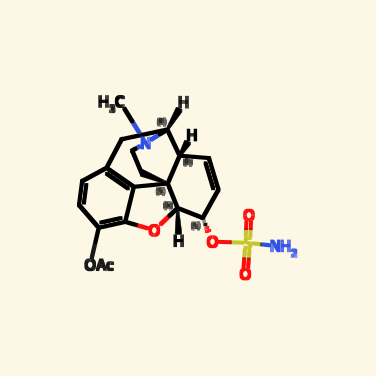 CC(=O)Oc1ccc2c3c1O[C@H]1[C@@H](OS(N)(=O)=O)C=C[C@H]4[C@@H](C2)N(C)CC[C@@]341